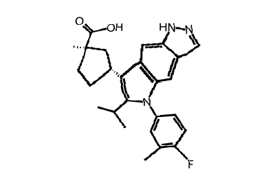 Cc1cc(-n2c(C(C)C)c([C@@H]3CC[C@@](C)(C(=O)O)C3)c3cc4[nH]ncc4cc32)ccc1F